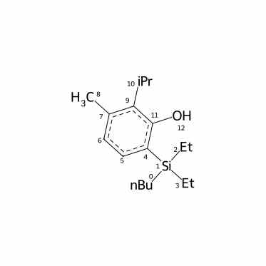 CCCC[Si](CC)(CC)c1ccc(C)c(C(C)C)c1O